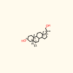 CC[C@H]1CC2C3CC[C@H]([C@H](C)CO)[C@@]3(C)CCC2[C@@]2(C)CC[C@@H](O)C[C@@H]12